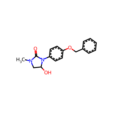 CN1CC(O)N(c2ccc(OCc3ccccc3)cc2)C1=O